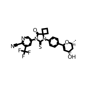 C[C@@H]1C[C@H](O)C=C(c2ccc(N3C(=S)N(c4cnc(C#N)c(C(F)(F)F)c4)C(=O)C34CCC4)cc2)O1